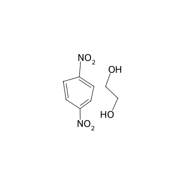 O=[N+]([O-])c1ccc([N+](=O)[O-])cc1.OCCO